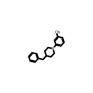 N#Cc1cccc(N2CCC(Cc3ccccc3)CC2)c1